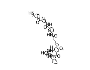 COc1cc2c(cc1OCCCC(=O)Nc1cccc(C(=O)Nc3cc(C(=O)NCC(C)(C)S)n(C)c3)n1)NC(S(=O)(=O)O)[C@@H]1Cc3ccccc3N1C2=O